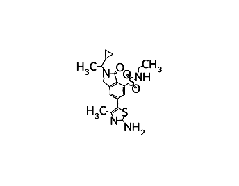 CCNS(=O)(=O)c1cc(-c2sc(N)nc2C)cc2c1C(=O)N(C(C)C1CC1)C2